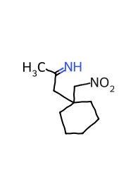 CC(=N)CC1(C[N+](=O)[O-])CCCCC1